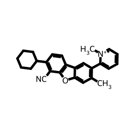 Cc1cc2oc3c(C#N)c(C4CCCCC4)ccc3c2cc1-c1cccc[n+]1C